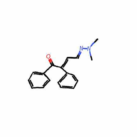 CN(C)N=CC=C(C(=O)c1ccccc1)c1ccccc1